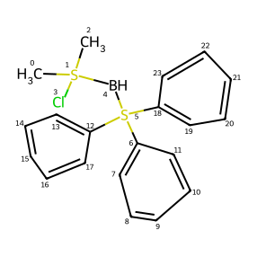 CS(C)(Cl)BS(c1ccccc1)(c1ccccc1)c1ccccc1